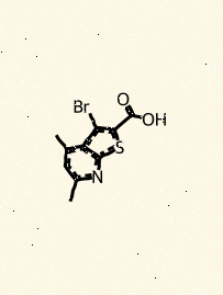 Cc1cc(C)c2c(Br)c(C(=O)O)sc2n1